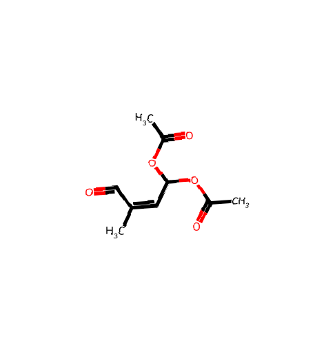 CC(=O)OC(/C=C(/C)C=O)OC(C)=O